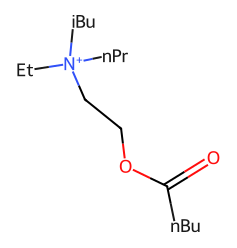 CCCCC(=O)OCC[N+](CC)(CCC)C(C)CC